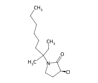 CCCCCCC(C)(CC)N1CC[C@H](Cl)C1=O